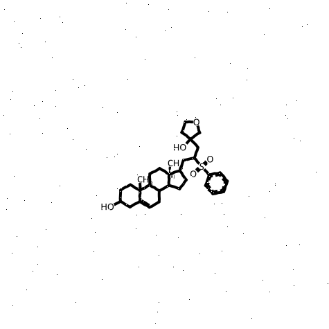 CC12CCC(O)CC1=CCC1C2CC[C@]2(C)C(CC(CC3(O)CCOC3)S(=O)(=O)c3ccccc3)CCC12